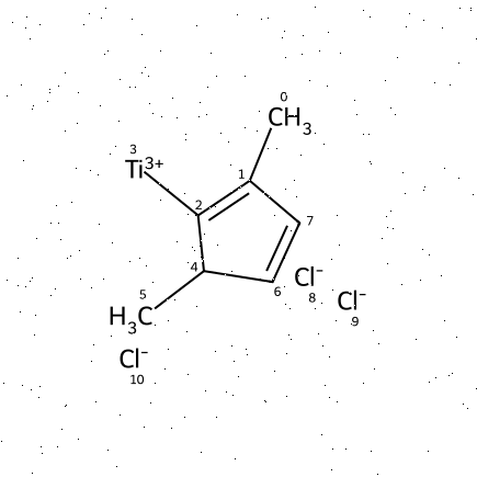 CC1=[C]([Ti+3])C(C)C=C1.[Cl-].[Cl-].[Cl-]